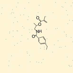 C=C(C)C(=O)OC(C)CNC(=O)c1ccc(CC)cc1